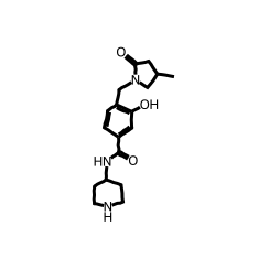 CC1CC(=O)N(Cc2ccc(C(=O)NC3CCNCC3)cc2O)C1